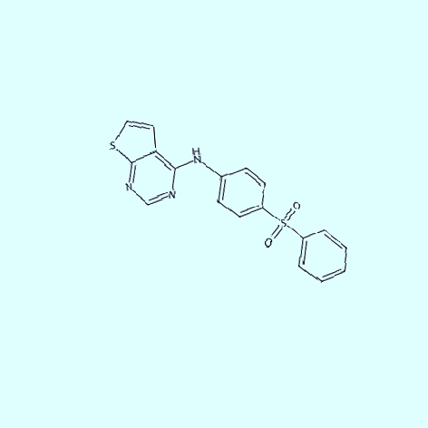 O=S(=O)(c1ccccc1)c1ccc(Nc2ncnc3sccc23)cc1